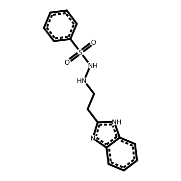 O=S(=O)(NNCCc1nc2ccccc2[nH]1)c1ccccc1